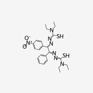 CCN(CC)/C(S)=N/N=C(/C(=N/N=C(\S)N(CC)CC)c1ccc([N+](=O)[O-])cc1)c1ccccc1